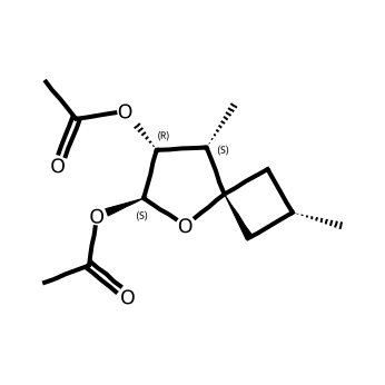 CC(=O)O[C@@H]1O[C@]2(C[C@@H](C)C2)[C@@H](C)[C@H]1OC(C)=O